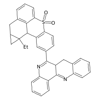 CCC12CC1Cc1cccc3c1C2c1cc(C2=Nc4ccccc4C4=Nc5ccccc5CC24)ccc1S3(=O)=O